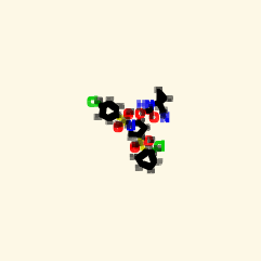 N#CC1(NC(=O)O[C@H]2C[C@@H](S(=O)(=O)c3ccccc3Cl)CN2S(=O)(=O)c2ccc(Cl)cc2)CC1